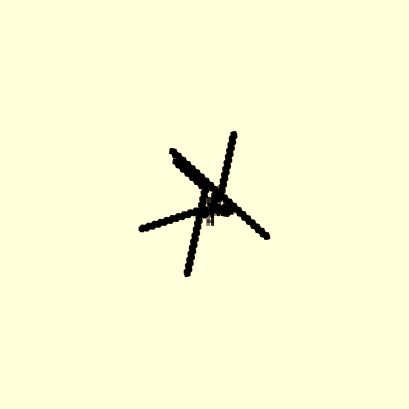 [CH2]c1ccc(-c2nc(Nc3cc(CCCCCCCCCCCCCCCCCCCC)c(CCCCCCCCCCCCCCCCCCCC)c(CCCCCCCCCCCCCCCCCCCC)c3)nc(Nc3cc(CCCCCCCCCCCCCCCCCCCC)c(CCCCCCCCCCCCCCCCCCCC)c(CCCCCCCCCCCCCCCCCCCC)c3)n2)cc1